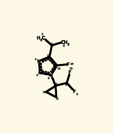 CC(C)c1nnn(C2(C(F)F)CC2)c1F